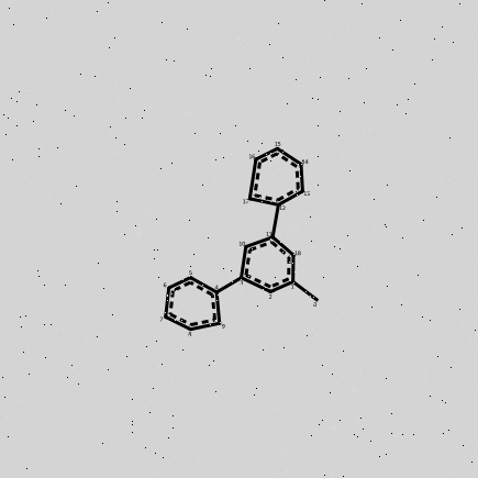 Cc1[c]c(-c2ccccc2)cc(-c2ccccc2)c1